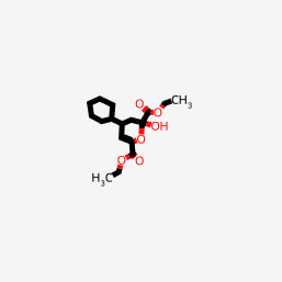 CCOC(=O)C1=CC(C2CCCCC2)CC(O)(C(=O)OCC)O1